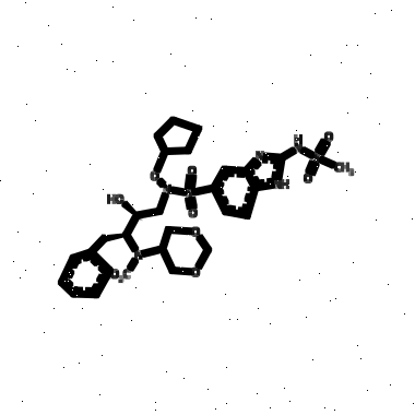 CS(=O)(=O)Nc1nc2cc(S(=O)(=O)N(C[C@H](O)[C@H](Cc3ccccc3)N(C(=O)O)C3COCOC3)OC3CCCC3)ccc2[nH]1